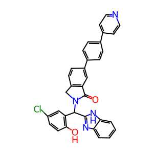 O=C1c2cc(-c3ccc(-c4ccncc4)cc3)ccc2CN1C(c1nc2ccccc2[nH]1)c1cc(Cl)ccc1O